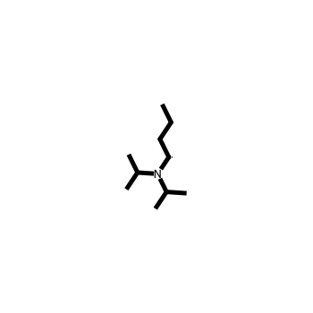 CCC[CH]N(C(C)C)C(C)C